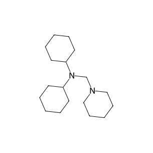 C1CCC(N(CN2CCCCC2)C2CCCCC2)CC1